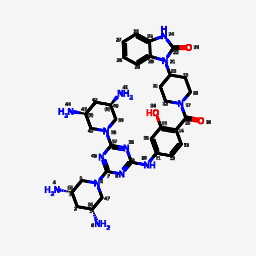 N[C@@H]1C[C@H](N)CN(c2nc(Nc3ccc(C(=O)N4CCC(n5c(=O)[nH]c6ccccc65)CC4)c(O)c3)nc(N3C[C@H](N)C[C@H](N)C3)n2)C1